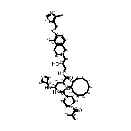 Cc1ncoc1COc1ccc2c(c1C)CCN(C[C@@H](O)CNC(=O)C1CC(NC3COC3)NC(N3CCN(C(=O)C(C)C)CC3)N1C1CCCCCCCCC1)C2